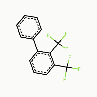 FC(F)(F)c1cc[c]c(-c2ccccc2)c1C(F)(F)F